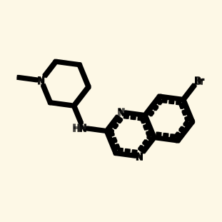 CN1CCCC(Nc2cnc3ccc(Br)cc3n2)C1